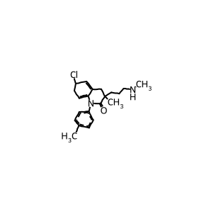 CNCCCC1(C)CC2=CC(Cl)CC=C2N(c2ccc(C)cc2)C1=O